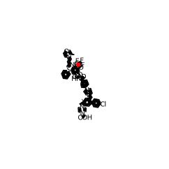 C[C@@H]1COCCN1CCC(CSc1ccccc1)Nc1ccc(S(=O)(=O)NC(=O)c2ccc(N3CCN(CC4=C(c5ccc(Cl)cc5)CC[C@@](C)(CN5CCN(C(=O)O)CC5)C4)CC3)cc2)cc1S(=O)(=O)C(F)(F)F